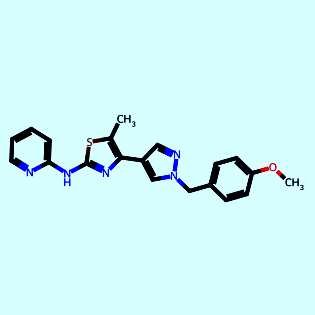 COc1ccc(Cn2cc(-c3nc(Nc4ccccn4)sc3C)cn2)cc1